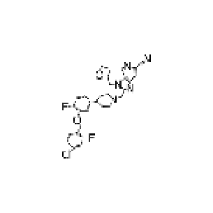 N#Cc1cc2nc(CN3CCC(c4ccc(F)c(OCc5ccc(Cl)cc5F)c4)CC3)n(CC3CCO3)c2cn1